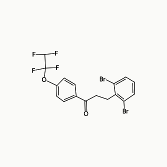 O=C(CCc1c(Br)cccc1Br)c1ccc(OC(F)(F)C(F)F)cc1